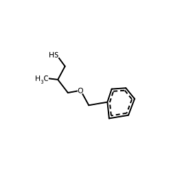 CC(CS)COCc1ccccc1